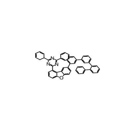 C1=CCC(c2nc(-c3ccccc3)nc(-c3cccc4oc5ccc(-c6cccc(-c7cccc(-c8ccccc8-c8ccccc8)c7)c6)cc5c34)n2)C=C1